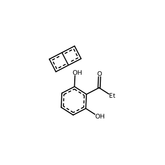 CCC(=O)c1c(O)cccc1O.c1cc2ccc1-2